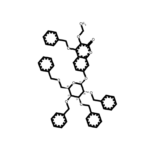 CCOc1c(OCc2ccccc2)c2ccc(O[C@@H]3O[C@H](COCc4ccccc4)[C@H](OCc4ccccc4)[C@H](OCc4ccccc4)[C@H]3OCc3ccccc3)cc2oc1=O